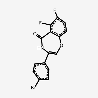 O=C1NC(c2ccc(Br)cc2)=COc2ccc(F)c(F)c21